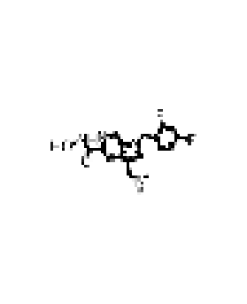 CN(C)Cc1cn(Cc2ccc(F)cc2F)c2cnc(C(=O)NO)cc12